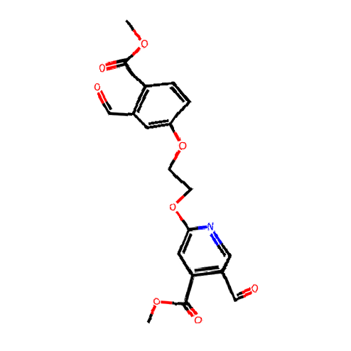 COC(=O)c1ccc(OCCOc2cc(C(=O)OC)c(C=O)cn2)cc1C=O